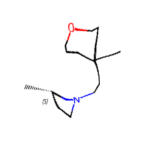 C[C@H]1CN1CC1(C)COC1